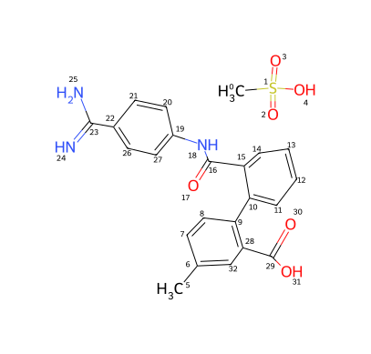 CS(=O)(=O)O.Cc1ccc(-c2ccccc2C(=O)Nc2ccc(C(=N)N)cc2)c(C(=O)O)c1